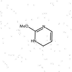 COC1=NC=C[CH]N1